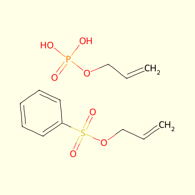 C=CCOP(=O)(O)O.C=CCOS(=O)(=O)c1ccccc1